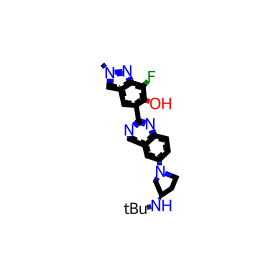 Cn1cc2cc(-c3ncc4cc(N5CC[C@@H](NC(C)(C)C)C5)ccc4n3)c(O)c(F)c2n1